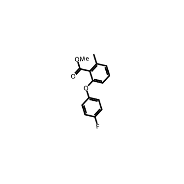 COC(=O)c1c(C)cccc1Oc1ccc(F)cc1